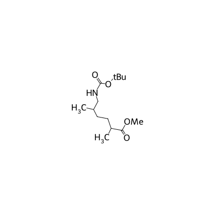 COC(=O)C(C)CCC(C)CNC(=O)OC(C)(C)C